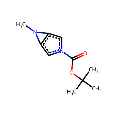 CN1c2cn(C(=O)OC(C)(C)C)cc21